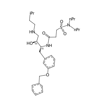 CCCN(CCC)S(=O)(=O)CCC(=O)N[C@@H](Cc1cccc(OCc2ccccc2)c1)[C@@H](O)CNCCC(C)C